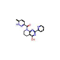 C=C1C=CC(C(=O)N2CCCc3c(O)nc(-c4ccccn4)nc32)=NN1